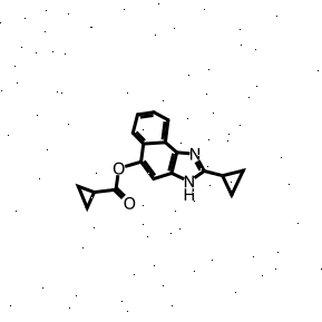 O=C(Oc1cc2[nH]c(C3CC3)nc2c2ccccc12)C1CC1